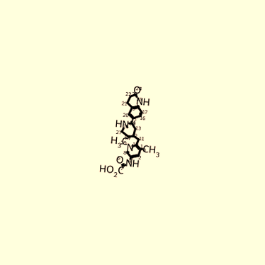 Cc1cc(NC(=O)C(=O)O)cnc1CC1C[C@H](c2ccc3c(c2)CCC(=O)N3)NC[C@H]1C